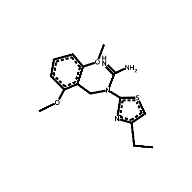 CCc1csc(N(Cc2c(OC)cccc2OC)C(=N)N)n1